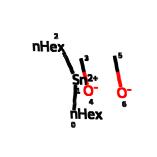 CCCCC[CH2][Sn+2][CH2]CCCCC.C[O-].C[O-]